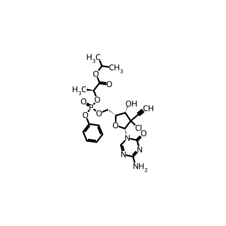 C#CC1(Cl)[C@@H](O)[C@@H](COP(=O)(Oc2ccccc2)O[C@@H](C)C(=O)OC(C)C)O[C@H]1n1cnc(N)nc1=O